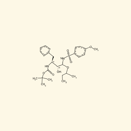 CCC(C)OC(NS(=O)(=O)c1ccc(OC)cc1)[C@H](O)[C@H](Cc1ccccc1)NC(=O)OC(C)(C)C